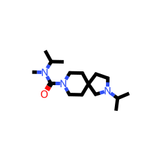 CC(C)N1CCC2(CCN(C(=O)N(C)C(C)C)CC2)C1